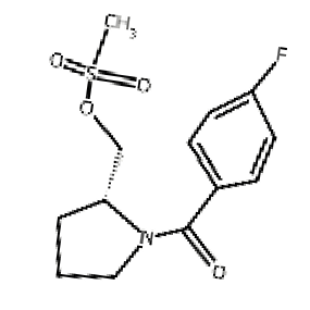 CS(=O)(=O)OC[C@H]1CCCN1C(=O)c1ccc(F)cc1